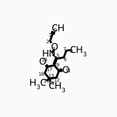 C#CCONC(CCC)=C1C(=O)CC(C)(C)CC1=O